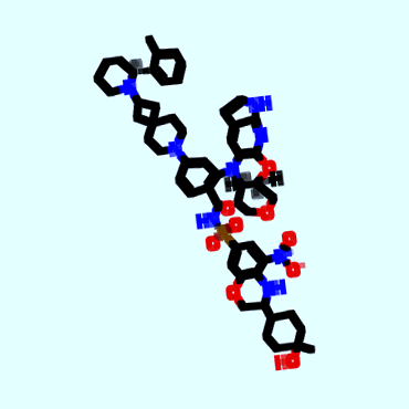 Cc1ccccc1[C@H]1CCCCN1C1CC2(CCN(c3ccc(C(=O)NS(=O)(=O)c4cc5c(c([N+](=O)[O-])c4)NC(C4CCC(C)(O)CC4)CO5)c(N4c5cc6cc[nH]c6nc5O[C@H]5COCC[C@@H]54)c3)CC2)C1